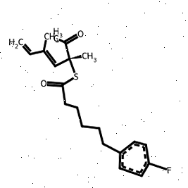 C=C/C(C)=C/[C@@](C)(SC(=O)CCCCCc1ccc(F)cc1)C(C)=O